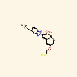 CCc1ccc2nn(-c3cc4cc(OCCS)ccc4cc3O)nc2c1